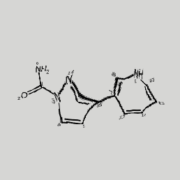 NC(=O)n1ccc(C2=CNC=CC=C2)n1